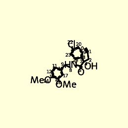 C#CCC(O)(C(=O)NCCc1ccc(OC)c(OC)c1)c1ccc(Cl)cc1